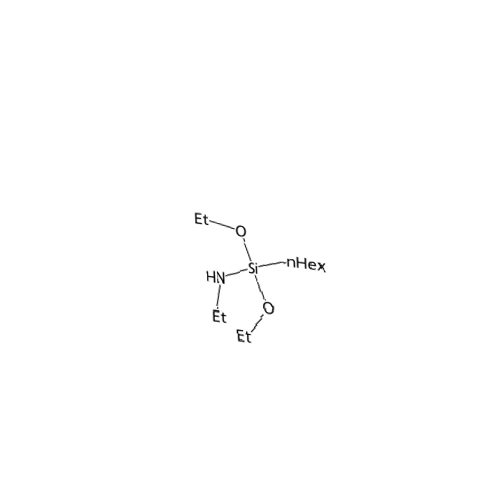 CCCCCC[Si](NCC)(OCC)OCC